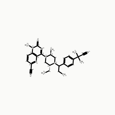 CCC(c1ccc(C(C)(C)C#N)cc1)N1C[C@H](C)N(c2nc(=O)n(C)c3ccc(C#N)nc23)C[C@H]1CC